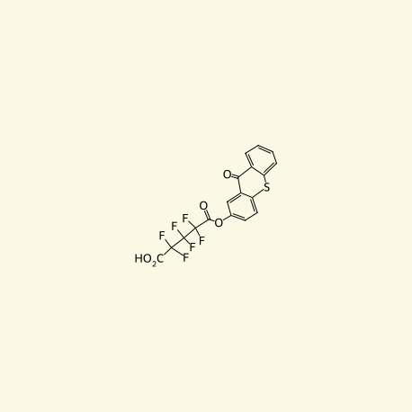 O=C(O)C(F)(F)C(F)(F)C(F)(F)C(=O)Oc1ccc2sc3ccccc3c(=O)c2c1